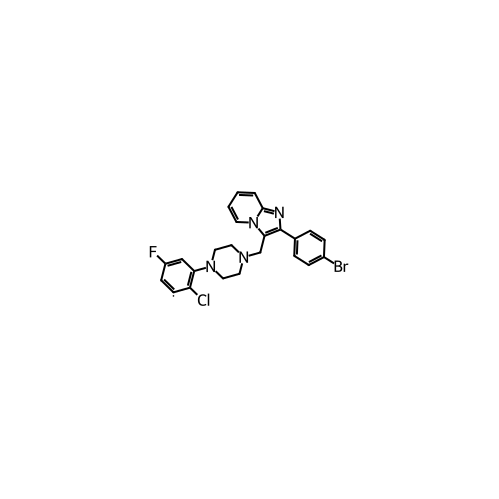 Fc1c[c]c(Cl)c(N2CCN(Cc3c(-c4ccc(Br)cc4)nc4ccccn34)CC2)c1